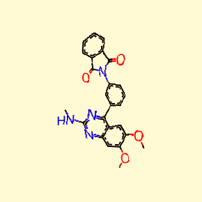 CNc1nc(-c2cccc(N3C(=O)c4ccccc4C3=O)c2)c2cc(OC)c(OC)cc2n1